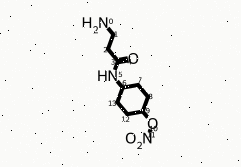 NCCC(=O)NC1CCC(O[N+](=O)[O-])CC1